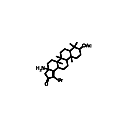 CC(=O)OC1CCC2(C)C(CCC3(C)C2CCC2C4=C(C(C)C)C(=O)CC4(N)CCC23C)C1(C)C